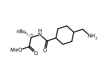 CCCC[C@H](NC(=O)C1CCC(CN)CC1)C(=O)OC